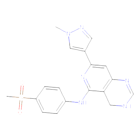 Cn1cc(-c2cc3c(c(Nc4ccc(S(C)(=O)=O)cc4)n2)CNC=N3)cn1